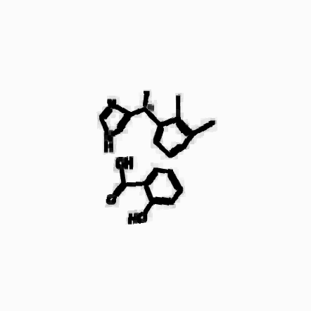 Cc1cccc([C@H](C)c2c[nH]cn2)c1C.O=C(O)c1ccccc1O